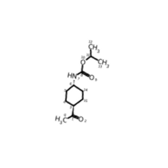 CC(=O)[C@H]1CC[C@H](NC(=O)OC(C)C)CC1